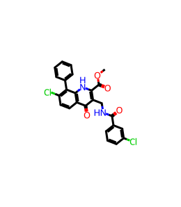 COC(=O)c1[nH]c2c(-c3ccccc3)c(Cl)ccc2c(=O)c1CNC(=O)c1cccc(Cl)c1